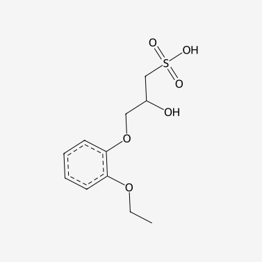 CCOc1ccccc1OCC(O)CS(=O)(=O)O